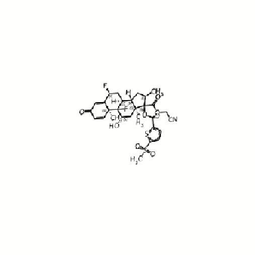 C[C@@H]1C[C@H]2[C@@H]3C[C@H](F)C4=CC(=O)C=C[C@]4(C)C3(F)[C@@H](O)C[C@]2(C)[C@@]1(OC(=O)c1ccc(S(C)(=O)=O)s1)C(=O)OCC#N